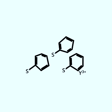 [S-]c1ccccc1.[S-]c1ccccc1.[S-]c1ccccc1.[Y+3]